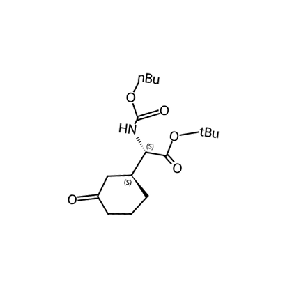 CCCCOC(=O)N[C@H](C(=O)OC(C)(C)C)[C@H]1CCCC(=O)C1